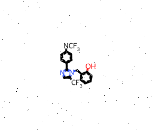 Oc1ccccc1Cn1c(C(F)(F)F)cnc1-c1ccc(NC(F)(F)F)cc1